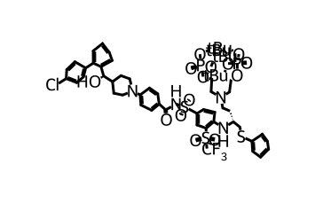 CC(C)(C)OP(=O)(OCCN(CCOP(=O)(OC(C)(C)C)OC(C)(C)C)CC[C@H](CSc1ccccc1)Nc1ccc(S(=O)(=O)NC(=O)c2ccc(N3CCC([C@@H](O)c4ccccc4-c4ccc(Cl)cc4)CC3)cc2)cc1S(=O)(=O)C(F)(F)F)OC(C)(C)C